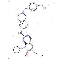 N#Cc1cc2cnc(Nc3ccc4c(c3)CCN(Cc3ccc(CCl)cc3)C4)nc2n(C2CCCC2)c1=O